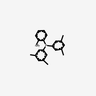 CCCc1ccccc1P(c1cc(C)cc(C)c1)c1cc(C)cc(C)c1